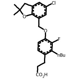 CCCCc1c(CCC(=O)O)ccc(OCc2cc(Cl)cc3c2OC(C)(C)C3)c1F